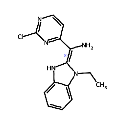 CCN1/C(=C(\N)c2ccnc(Cl)n2)Nc2ccccc21